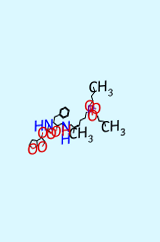 CCCCOP(=O)(CCC/C=C(/C)CNCC(O)C(Cc1ccccc1)NC(=O)OC1COC2OCCC12)OCCCC